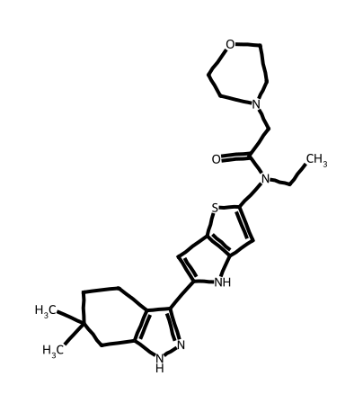 CCN(C(=O)CN1CCOCC1)c1cc2[nH]c(-c3n[nH]c4c3CCC(C)(C)C4)cc2s1